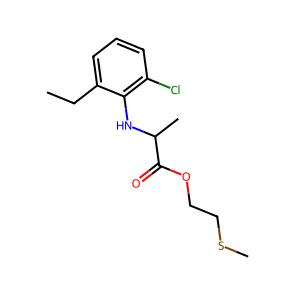 CCc1cccc(Cl)c1NC(C)C(=O)OCCSC